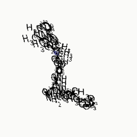 CC[C@H](C)C(NC(=O)[C@H]1CCCCN1C)C(=O)N(C)[C@H](/C=C(\C)C(=O)NS(=O)(=O)c1ccc(NC(=O)[C@H](CCCNC(N)=O)NC(=O)C(NC(=O)CC(C)(C)COP(C)CN2C(=O)C=CC2=O)C(C)C)cc1)C(C)C